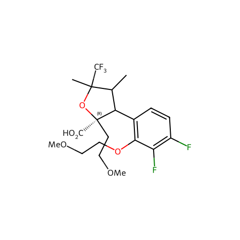 COCCOc1c(C2C(C)C(C)(C(F)(F)F)O[C@@]2(CCOC)C(=O)O)ccc(F)c1F